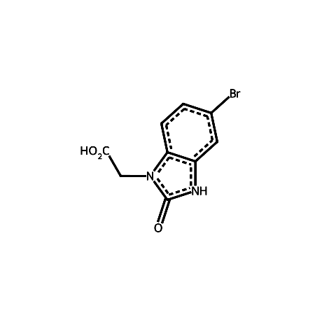 O=C(O)Cn1c(=O)[nH]c2cc(Br)ccc21